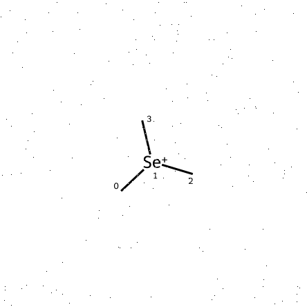 C[Se+](C)C